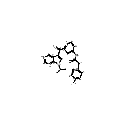 CC(C)n1cc(C(=O)c2cc(NC(=O)Cc3ccc(Cl)cc3)ccn2)c2cncnc21